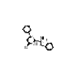 N[C@@H](Cc1ccccc1)c1nc(-c2ccccc2)cc(=O)[nH]1